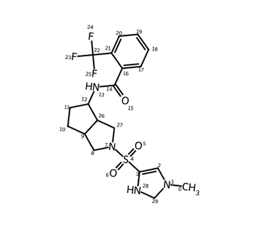 CN1C=C(S(=O)(=O)N2CC3CCC(NC(=O)c4ccccc4C(F)(F)F)C3C2)NC1